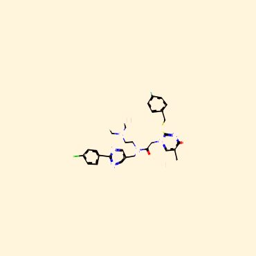 CCc1cn(CC(=O)N(CCN(CC)CC)Cc2cnc(-c3ccc(Cl)cc3)nc2)c(SCc2ccc(F)cc2)nc1=O